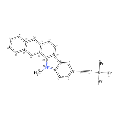 CC(C)[Si](C#Cc1ccc2c(c1)c1ccc3cc4ccccc4cc3c1n2C)(C(C)C)C(C)C